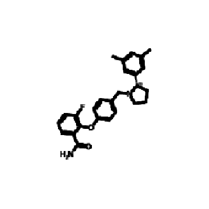 Cc1cc(C)cc([C@@H]2CCCN2Cc2ccc(Oc3c(F)cccc3C(N)=O)cc2)c1